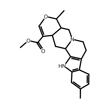 COC(=O)C1=COC(C)C2CN3CCc4c([nH]c5cc(C)ccc45)C3CC12